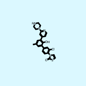 Cc1cc(-c2ccnc(N3CCNCC3)c2)c(O)c(-c2ccc(-n3ccsc3=O)c(Cl)c2)c1